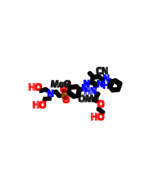 COc1cc(S(=O)(=O)CCN(CCO)CCO)c(OC)cc1/N=N/c1c(NCCOCCO)nc(Nc2ccccc2)c(C#N)c1C